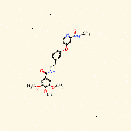 CNC(=O)c1cc(Oc2cccc(CCNC(=O)c3cc(OC)c(OC)c(OC)c3)c2)ccn1